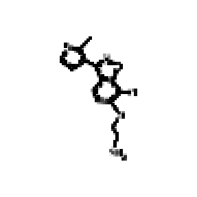 Cc1sccc1-c1noc2c(Cl)c(OCCN)ccc12